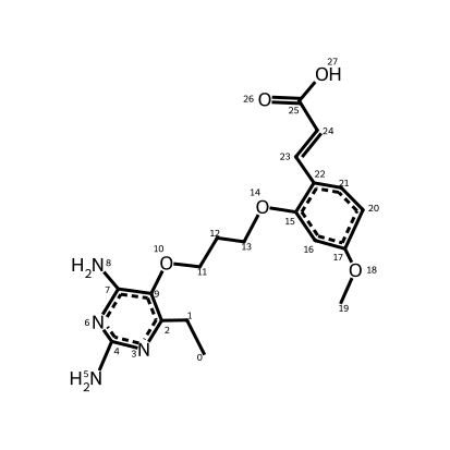 CCc1nc(N)nc(N)c1OCCCOc1cc(OC)ccc1/C=C/C(=O)O